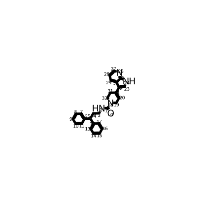 O=C(NCCC(c1ccccc1)c1ccccc1)N1CC=C(c2c[nH]c3ncccc23)CC1